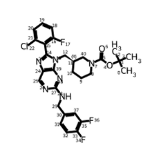 CC(C)(C)OC(=O)N1CCC[C@@H](Cn2c(-c3c(F)cccc3Cl)nc3cnc(NCc4ccc(F)c(F)c4)nc32)C1